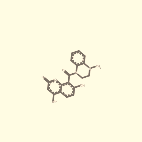 CCCc1cc(=O)oc2c(C(=O)N3CCN(C)c4ccccc43)c(O)ccc12